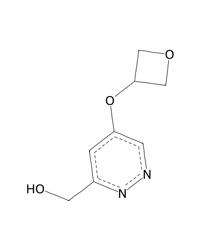 OCc1cc(OC2COC2)cnn1